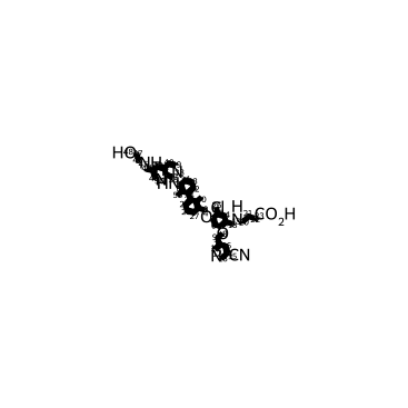 Cc1c(COc2cc(OCc3cncc(C#N)c3)c(CNCCCC(=O)O)cc2Cl)cccc1-c1cccc(Nc2nccc3cc(CNCCO)cnc23)c1C